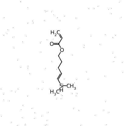 C=CC(=O)OCCCC=C[SiH](C)C